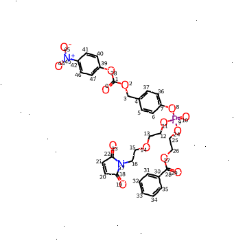 O=C(OCc1ccc(OP(=O)(OCCOCCN2C(=O)C=CC2=O)OCCOC(=O)c2ccccc2)cc1)Oc1ccc([N+](=O)[O-])cc1